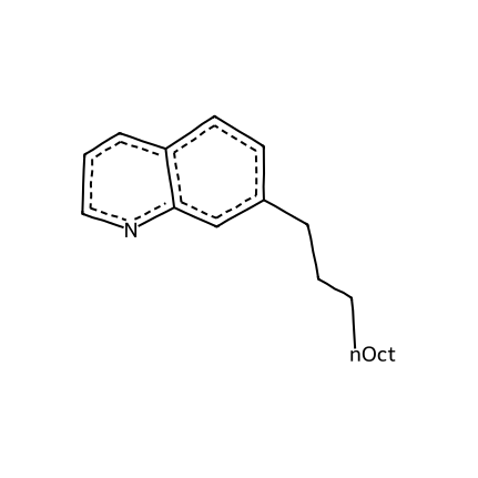 CCCCCCCCCCCc1ccc2cccnc2c1